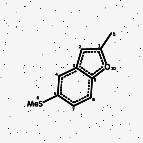 [CH2]c1cc2cc(SC)ccc2o1